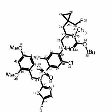 COc1ccc(CN(c2ncc(F)s2)S(=O)(=O)c2cc(Cl)c(NC[C@@H](CC3(CF)CC3)N(C)C(=O)OC(C)(C)C)cc2F)c(OC)c1